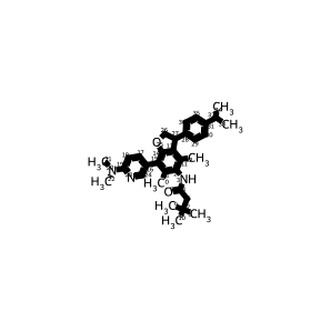 Cc1c(NC(=O)CC(C)(C)C)c(C)c2c(c1-c1ccc(N(C)C)nc1)OCC2c1ccc(C(C)C)cc1